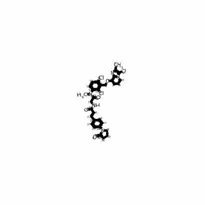 Cc1nc2c(OCc3c(Cl)ccc(N(C)C(=O)CNC(=O)C=Cc4ccc(N5CCCC5=O)cc4)c3Cl)cccn2c1Cl